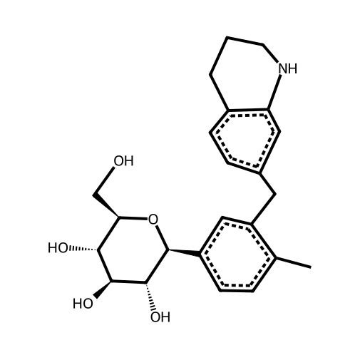 Cc1ccc([C@@H]2O[C@H](CO)[C@@H](O)[C@H](O)[C@H]2O)cc1Cc1ccc2c(c1)NCCC2